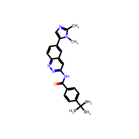 BC(B)(B)c1ccc(C(=O)Nc2cc3cc(-c4cnc(C)n4C)ccc3nn2)cc1